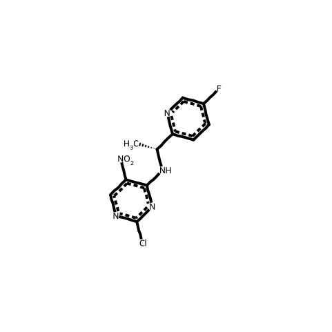 C[C@@H](Nc1nc(Cl)ncc1[N+](=O)[O-])c1ccc(F)cn1